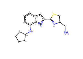 NCC1CSC(c2cc3cccc(NC4CCCC4)c3[nH]2)=N1